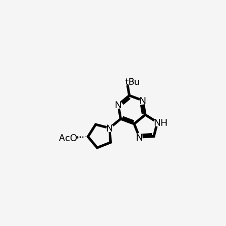 CC(=O)O[C@H]1CCN(c2nc(C(C)(C)C)nc3[nH]cnc23)C1